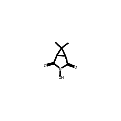 CC1(C)C2C(=O)N(O)C(=O)C21